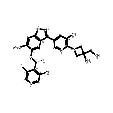 COc1cc2[nH]nc(-c3cnc(N4CC(N)(CC#N)C4)c(C#N)c3)c2cc1O[C@H](C)c1c(Cl)cncc1Cl